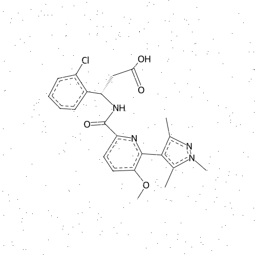 COc1ccc(C(=O)N[C@@H](CC(=O)O)c2ccccc2Cl)nc1-c1c(C)nn(C)c1C